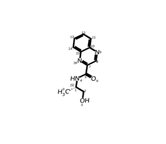 C[C@@H](CO)NC(=O)c1cnc2ccccc2n1